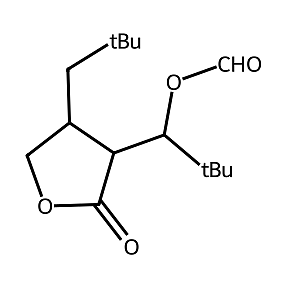 CC(C)(C)CC1COC(=O)C1C(OC=O)C(C)(C)C